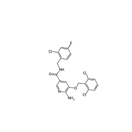 Nc1ncc(C(=O)NCc2ccc(F)cc2Cl)cc1OCc1c(Cl)cccc1Cl